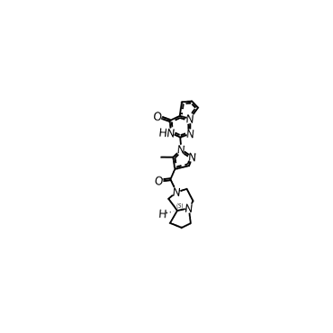 Cc1c(C(=O)N2CCN3CCC[C@H]3C2)cnn1-c1nn2cccc2c(=O)[nH]1